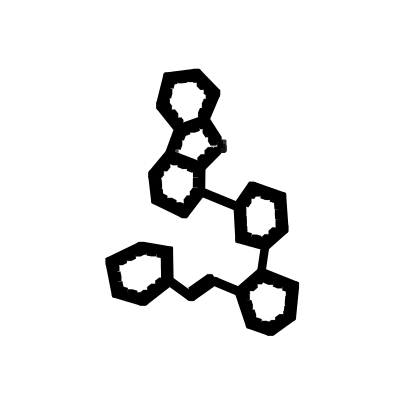 C(=Cc1ccccc1-c1cccc(-c2cccc3c2sc2ccccc23)c1)c1ccccc1